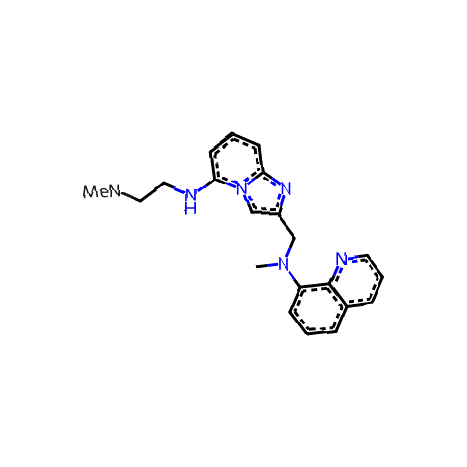 CNCCNc1cccc2nc(CN(C)c3cccc4cccnc34)cn12